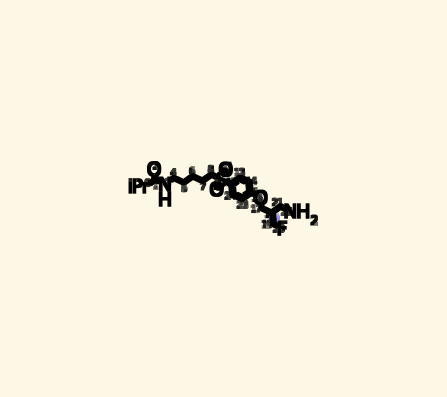 CC(C)C(=O)NCCCCCS(=O)(=O)c1ccc(OC/C(=C/F)CN)cc1